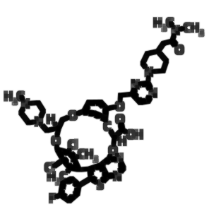 Cc1c(Cl)c2c(Cl)c(C)c1-c1c(-c3ccc(F)cc3)sc3ncnc(c13)O[C@@H](C(=O)O)Cc1cc(ccc1OCc1ccnc(N3CCC(CC(=O)N(C)C)CC3)n1)OC[C@@H](CN1CCN(C)CC1)O2